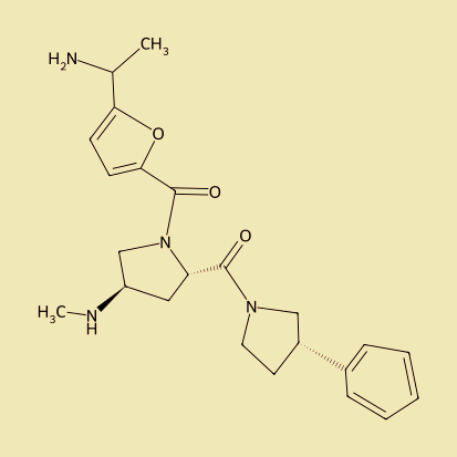 CN[C@@H]1C[C@@H](C(=O)N2CC[C@@H](c3ccccc3)C2)N(C(=O)c2ccc(C(C)N)o2)C1